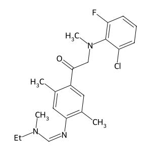 CCN(C)/C=N\c1cc(C)c(C(=O)CN(C)c2c(F)cccc2Cl)cc1C